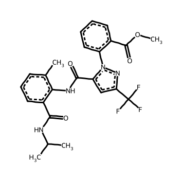 COC(=O)c1ccccc1-n1nc(C(F)(F)F)cc1C(=O)Nc1c(C)cccc1C(=O)NC(C)C